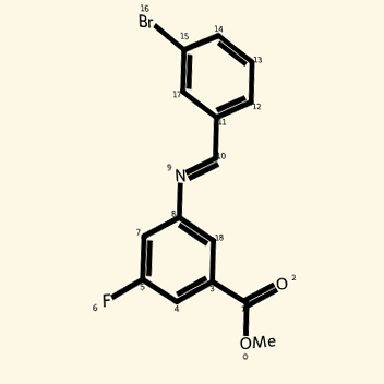 COC(=O)c1cc(F)cc(N=Cc2cccc(Br)c2)c1